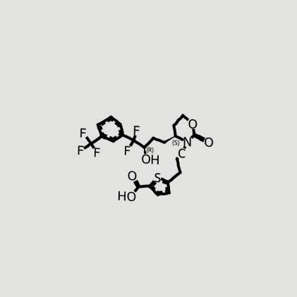 O=C(O)c1ccc(CCCN2C(=O)OCC[C@@H]2CC[C@@H](O)C(F)(F)c2cccc(C(F)(F)F)c2)s1